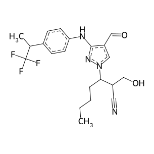 CCCCC(C(C#N)CO)n1cc(C=O)c(Nc2ccc(C(C)C(F)(F)F)cc2)n1